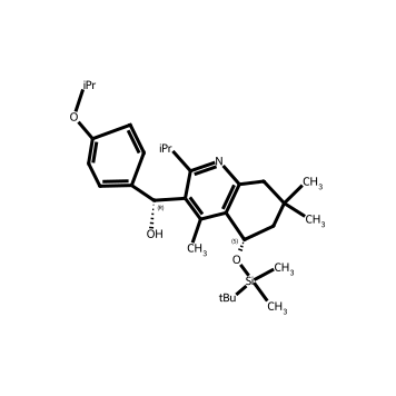 Cc1c([C@H](O)c2ccc(OC(C)C)cc2)c(C(C)C)nc2c1[C@@H](O[Si](C)(C)C(C)(C)C)CC(C)(C)C2